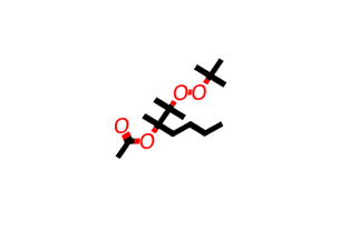 CCCCC(C)(OC(C)=O)C(C)(C)OOC(C)(C)C